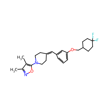 Cc1noc(N2CCC(=Cc3cccc(OCC4CCC(F)(F)CC4)c3)CC2)c1C